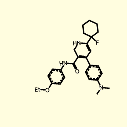 CCOc1ccc(NC(=O)C2=C(c3ccc(N(C)C)cc3)C=C(C3(F)CCCCC3)NC2)cc1